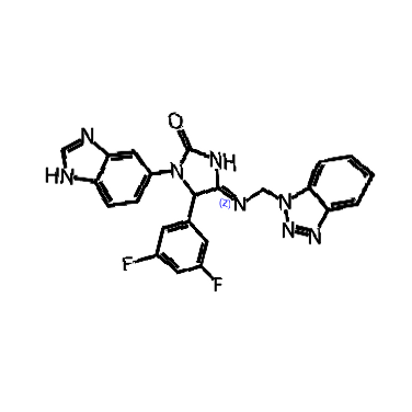 O=C1N/C(=N\Cn2nnc3ccccc32)C(c2cc(F)cc(F)c2)N1c1ccc2[nH]cnc2c1